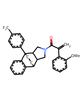 C=C(C(=O)N1CC2C3CCC(c4ccc(C(F)(F)F)cc4)(c4ccccc43)C2C1)c1ccccc1OC